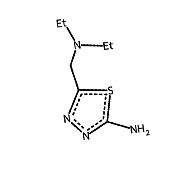 CCN(CC)Cc1nnc(N)s1